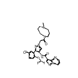 CN1CCCN(C(=O)Cn2cc(NC(=O)c3cnn4cccnc34)c(-c3cc(Cl)ccc3OC(F)F)n2)CCC1